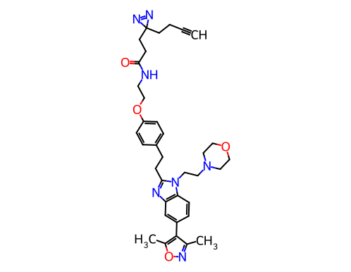 C#CCCC1(CCC(=O)NCCOc2ccc(CCc3nc4cc(-c5c(C)noc5C)ccc4n3CCN3CCOCC3)cc2)N=N1